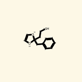 SCCC1(Cc2ccccc2)OC=CO1